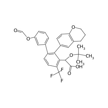 CC(C)(C)OC(C(=O)O)c1c(C(F)(F)F)ccc(-c2cccc(OC=O)c2)c1-c1ccc2c(c1)CCCO2